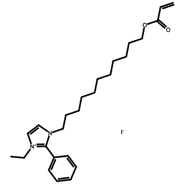 C=CC(=O)OCCCCCCCCCCCn1cc[n+](CC)c1-c1ccccc1.[I-]